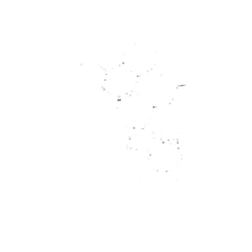 CCCCn1c(Sc2cc(OC)c(OC)c(OC)c2)nc2c(N)ncnc21